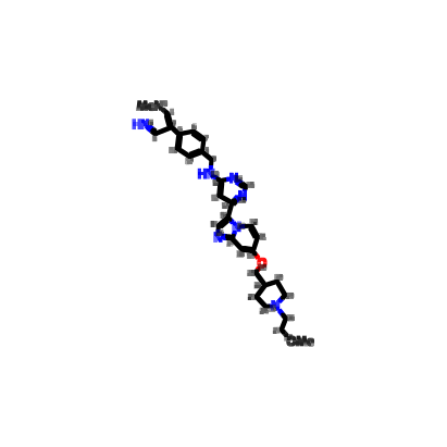 CN/C=C(\C=N)c1ccc(CNc2cc(-c3cnc4cc(OCC5CCN(CCOC)CC5)ccn34)ncn2)cc1